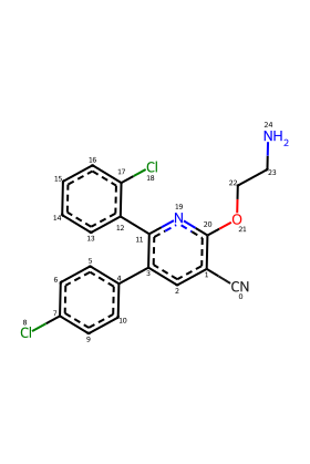 N#Cc1cc(-c2ccc(Cl)cc2)c(-c2ccccc2Cl)nc1OCCN